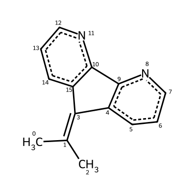 CC(C)=C1c2cccnc2-c2ncccc21